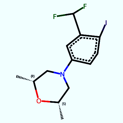 C[C@@H]1CN(c2ccc(I)c(C(F)F)c2)C[C@H](C)O1